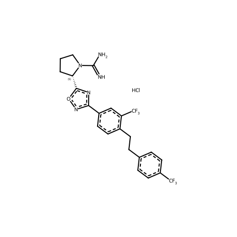 Cl.N=C(N)N1CCC[C@H]1c1nc(-c2ccc(CCc3ccc(C(F)(F)F)cc3)c(C(F)(F)F)c2)no1